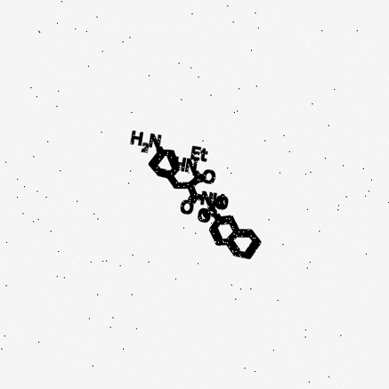 CCNC(=O)C(Cc1ccc(N)cc1)C(=O)NS(=O)(=O)c1ccc2ccccc2c1